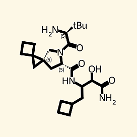 CC(C)(C)[C@H](N)C(=O)N1C[C@]2(C[C@H]1C(=O)NC(CC1CCC1)C(O)C(N)=O)CC21CCC1